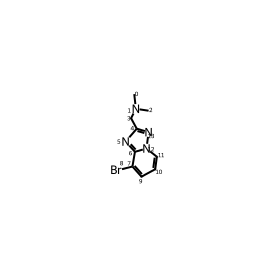 CN(C)Cc1nc2c(Br)cccn2n1